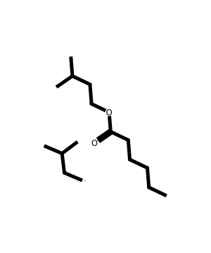 CCCCCC(=O)OCCC(C)C.[CH2]CC(C)C